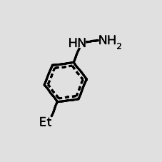 [CH2]Cc1ccc(NN)cc1